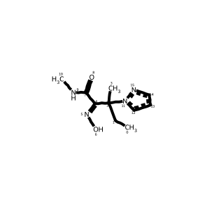 CCC(C)(/C(=N\O)C(=O)NC)n1cccn1